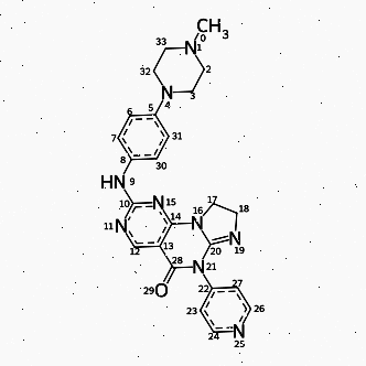 CN1CCN(c2ccc(Nc3ncc4c(n3)N3CCN=C3N(c3ccncc3)C4=O)cc2)CC1